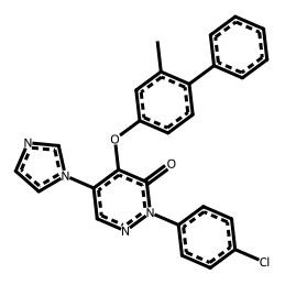 Cc1cc(Oc2c(-n3ccnc3)cnn(-c3ccc(Cl)cc3)c2=O)ccc1-c1ccccc1